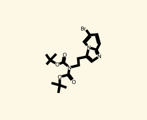 CC(C)(C)OC(=O)N(CCc1cnc2ccc(Br)cn12)C(=O)OC(C)(C)C